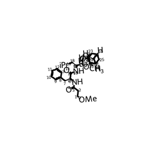 COCCC(=O)N[C@@H](Cc1ccccc1)C(=O)N[C@@H](CC(C)C)B1O[C@@H]2C[C@@H]3C[C@@H](C3(C)C)[C@]2(C)O1